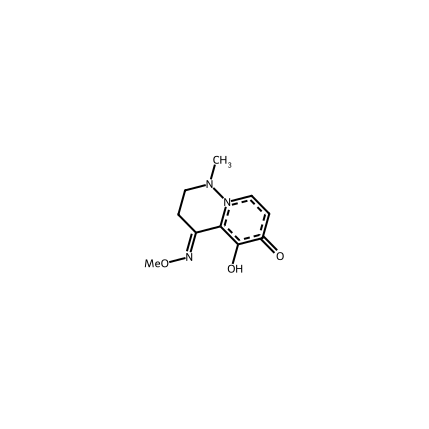 CO/N=C1\CCN(C)n2ccc(=O)c(O)c21